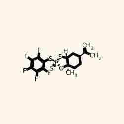 C=C(C)[C@H]1CC[C@@]2(C)O[P@@](=S)(Sc3c(F)c(F)c(F)c(F)c3F)S[C@@H]2C1